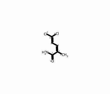 CC(=CC=C(Cl)Cl)C(N)=O